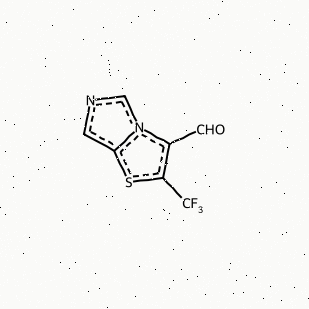 O=Cc1c(C(F)(F)F)sc2cncn12